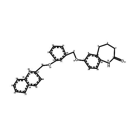 O=C1CCCc2cc(OCc3cccc(OCc4ccc5ccccc5n4)c3)ccc2N1